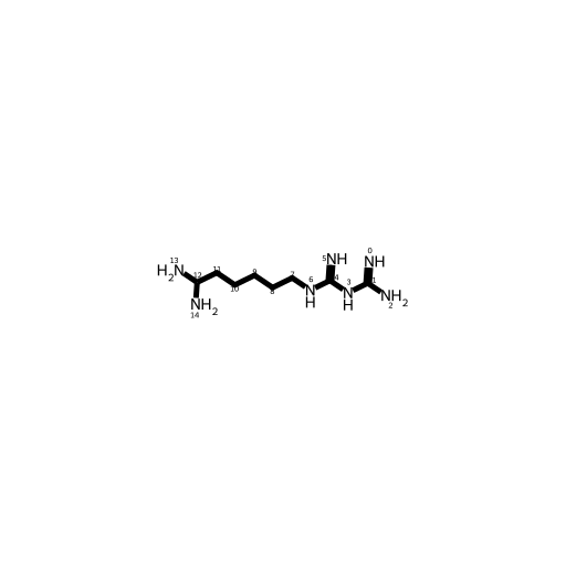 N=C(N)NC(=N)NCCCCCC(N)N